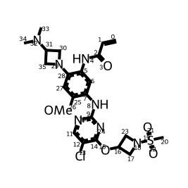 C=CC(=O)Nc1cc(Nc2ncc(Cl)c(OC3CN(S(C)(=O)=O)C3)n2)c(OC)cc1N1CC(N(C)C)C1